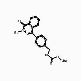 CCn1nc(-c2ccc(CNC(=O)OC(C)(C)C)cc2)c2ccccc2c1=O